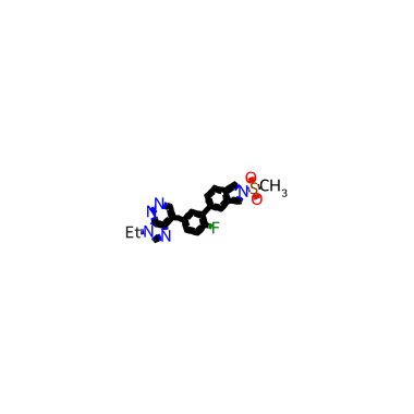 CCn1cnc2c(-c3ccc(F)c(-c4ccc5cn(S(C)(=O)=O)cc5c4)c3)cnnc21